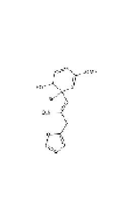 COC1=CC(Br)(/C=C(/Cc2ccco2)[N+](=O)[O-])C(O)C=C1